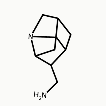 NCC1C2CC3CC1N(C3)C2